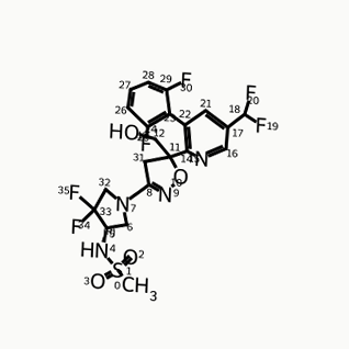 CS(=O)(=O)N[C@@H]1CN(C2=NOC(CO)(c3ncc(C(F)F)cc3-c3c(F)cccc3F)C2)CC1(F)F